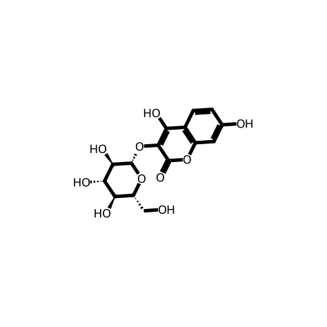 O=c1oc2cc(O)ccc2c(O)c1O[C@@H]1O[C@H](CO)[C@@H](O)[C@H](O)[C@H]1O